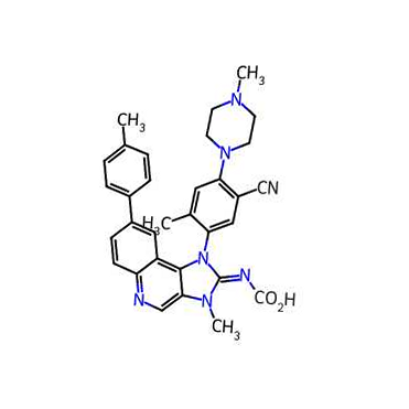 Cc1ccc(-c2ccc3ncc4c(c3c2)n(-c2cc(C#N)c(N3CCN(C)CC3)cc2C)c(=NC(=O)O)n4C)cc1